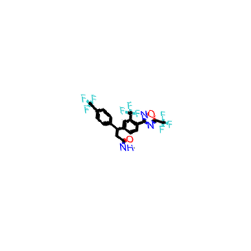 [NH]C(=O)CC(c1ccc(C(F)(F)F)cc1)c1ccc(-c2noc(C(F)(F)F)n2)c(C(F)(F)F)c1